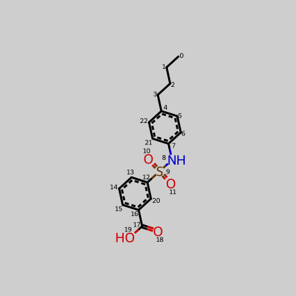 CCCCc1ccc(NS(=O)(=O)c2cccc(C(=O)O)c2)cc1